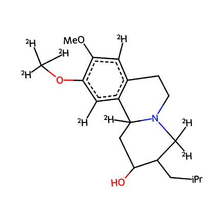 [2H]c1c2c(c([2H])c(OC([2H])([2H])[2H])c1OC)C1([2H])CC(O)C(CC(C)C)C([2H])([2H])N1CC2